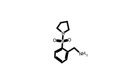 NCc1ccccc1S(=O)(=O)N1CCCC1